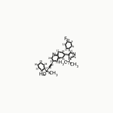 CC(C)n1cnc(-c2ccc(F)cc2)c1-c1ccc2ncc(C#CC(C)(O)c3ccccc3)cc2c1